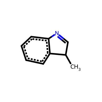 CC1C=Nc2ccccc21